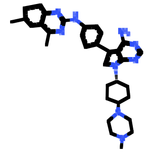 Cc1ccc2nc(Nc3ccc(-c4cn([C@H]5CC[C@H](N6CCN(C)CC6)CC5)c5ncnc(N)c45)cc3)nc(C)c2c1